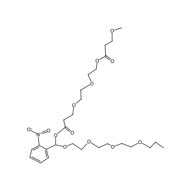 CCCOCCOCCOCCOC(OC(=O)CCOCCOCCOC(=O)CCOC)c1ccccc1[N+](=O)[O-]